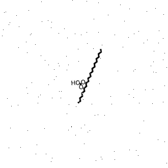 CCCCCCCCCCCCCCC(CCCCCCCC)OC(=O)O